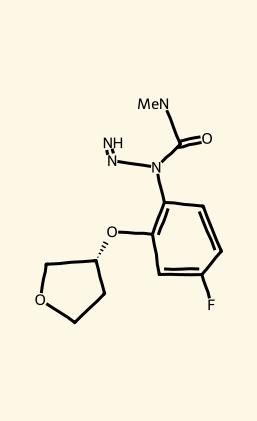 CNC(=O)N(N=N)c1ccc(F)cc1O[C@@H]1CCOC1